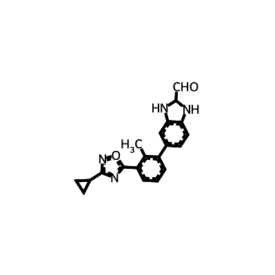 Cc1c(-c2ccc3c(c2)NC(C=O)N3)cccc1-c1nc(C2CC2)no1